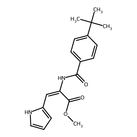 COC(=O)C(=Cc1ccc[nH]1)NC(=O)c1ccc(C(C)(C)C)cc1